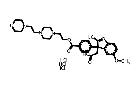 COc1ccc2c(c1)C(CC(=O)O)(c1ccc(C(=O)OCCN3CCN(CCN4CCOCC4)CC3)cc1)C(C)=N2.Cl.Cl.Cl